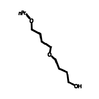 CCCOCCCCOCCCCO